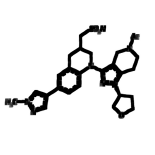 CC(=O)N1CCc2c(c(N3CC(CS(=O)(=O)O)Cc4cc(-c5cnn(C)c5)ccc43)nn2[C@H]2CCOC2)C1